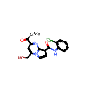 COC(=O)C1=NC2C(C(=O)Nc3ccccc3Cl)C=CN2C(CBr)=C1